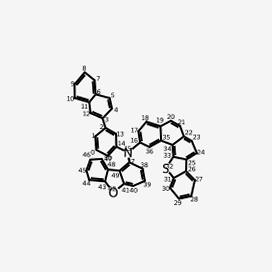 c1cc(-c2ccc3ccccc3c2)cc(N(c2ccc3ccc4ccc5c6ccccc6sc5c4c3c2)c2cccc3oc4ccccc4c23)c1